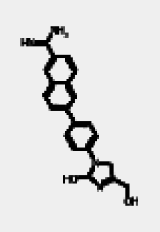 N=C(N)c1ccc2cc(-c3ccc(N4CC(CO)=NC4O)cc3)ccc2c1